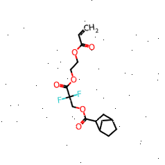 C=CC(=O)OCCOC(=O)C(F)(F)COC(=O)C1CC2CCC1C2